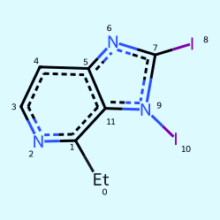 CCc1nccc2nc(I)n(I)c12